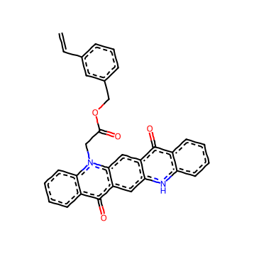 C=Cc1cccc(COC(=O)Cn2c3ccccc3c(=O)c3cc4[nH]c5ccccc5c(=O)c4cc32)c1